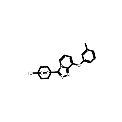 Cc1cccc(Oc2cccn3c(C45CCC(O)(CC4)CC5)nnc23)c1